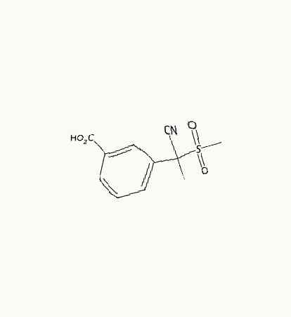 CC(C#N)(c1cccc(C(=O)O)c1)S(C)(=O)=O